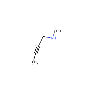 CC#CCNC=O